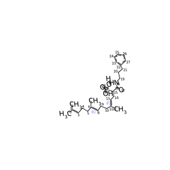 CC(C)=CCC/C(C)=C/CC/C(C)=C/CC(C(=O)NCCCc1ccccc1)P(=O)(O)O